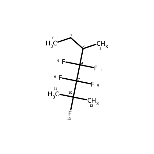 CCC(C)C(F)(F)C(F)(F)C(C)(C)F